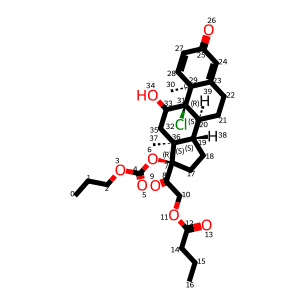 CCCOC(=O)O[C@]1(C(=O)COC(=O)CCC)CC[C@H]2[C@@H]3CCC4=CC(=O)C=C[C@]4(C)[C@@]3(Cl)C(O)C[C@@]21C